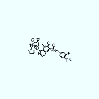 CN(c1nccs1)S(=O)(=O)C1(COc2nncc3cc(C(=O)NCc4ccc(C#N)c(F)c4)c(=O)n(C)c23)CC1